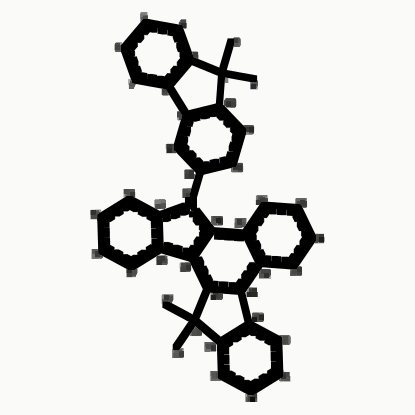 CC1(C)c2ccccc2-c2cc(-n3c4ccccc4c4c5c(c6ccccc6c43)-c3ccccc3C5(C)C)ccc21